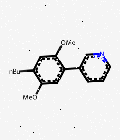 CCCCc1cc(OC)c(-c2cccnc2)cc1OC